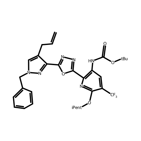 C=CCc1cn(Cc2ccccc2)nc1-c1nnc(-c2nc(OC(C)CCC)c(C(F)(F)F)cc2NC(=O)OC(C)(C)C)o1